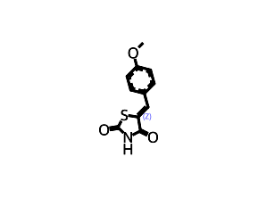 COc1ccc(/C=C2\SC(=O)NC2=O)cc1